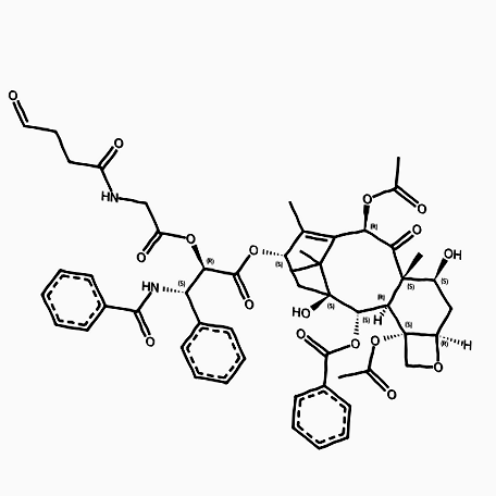 CC(=O)O[C@H]1C(=O)[C@@]2(C)[C@H]([C@H](OC(=O)c3ccccc3)[C@]3(O)C[C@H](OC(=O)[C@H](OC(=O)CNC(=O)CCC=O)[C@@H](NC(=O)c4ccccc4)c4ccccc4)C(C)=C1C3(C)C)[C@]1(OC(C)=O)CO[C@@H]1C[C@@H]2O